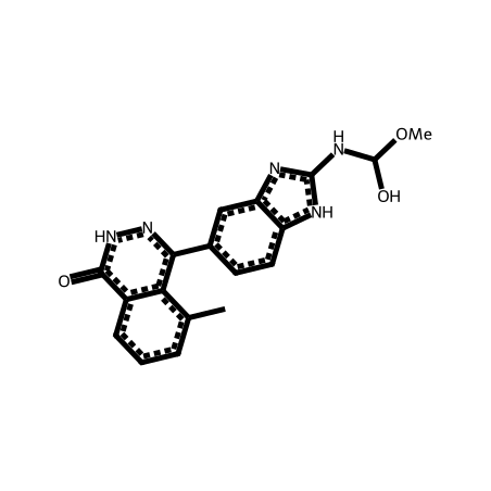 COC(O)Nc1nc2cc(-c3n[nH]c(=O)c4cccc(C)c34)ccc2[nH]1